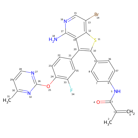 C=C(C)C(=O)Nc1ccc(-c2sc3c(Br)cnc(N)c3c2-c2ccc(Oc3nccc(C)n3)c(F)c2)cc1